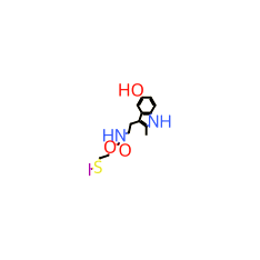 Cc1[nH]c2ccc(O)cc2c1CCNC(=O)OCCSI